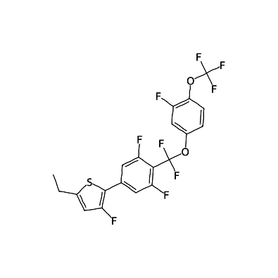 CCc1cc(F)c(-c2cc(F)c(C(F)(F)Oc3ccc(OC(F)(F)F)c(F)c3)c(F)c2)s1